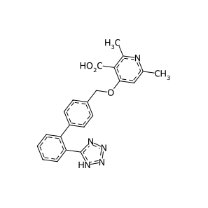 Cc1cc(OCc2ccc(-c3ccccc3-c3nnn[nH]3)cc2)c(C(=O)O)c(C)n1